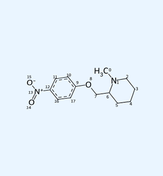 CN1CCCCC1COc1ccc([N+](=O)[O-])cc1